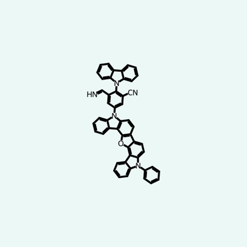 N#Cc1cc(-n2c3ccccc3c3c4oc5c(ccc6c5c5ccccc5n6-c5ccccc5)c4ccc32)cc(C=N)c1-n1c2ccccc2c2ccccc21